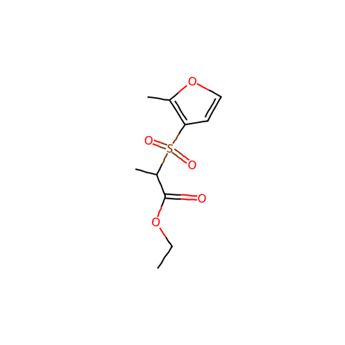 CCOC(=O)C(C)S(=O)(=O)c1ccoc1C